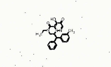 CCN1CC(C(c2ccccc2)c2cccc(C)c2)n2ncc(=O)c(O)c2C1=O